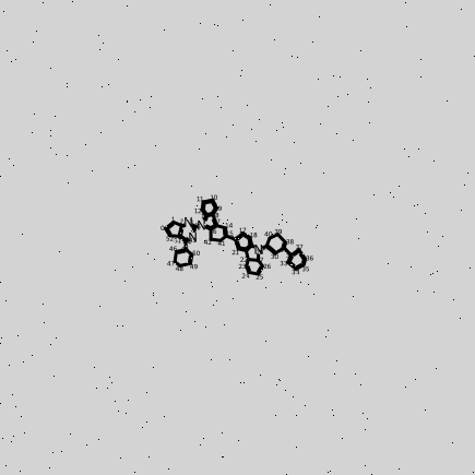 C1=Cc2nc(-n3c4c(c5ccccc53)C=C(c3ccc5c(c3)C3C=CC=CC3N5C3=CC(c5ccccc5)=CCC3)CC4)nc(C3=CCCC=C3)c2C=1